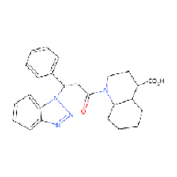 O=C(O)C1CCN(C(=O)C[C@@H](c2ccccc2)n2nnc3ccccc32)C2CCCCC12